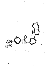 O=C(Nc1cccc(-c2ccc3cnccc3n2)c1)c1ccc(N2CCS2(=O)=O)cc1